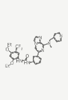 CCOc1cc(OCC)c(C(F)(F)F)cc1NC(=O)Nc1cccc(-c2cn3ccnc3c(N(C)Cc3ccncc3)n2)c1